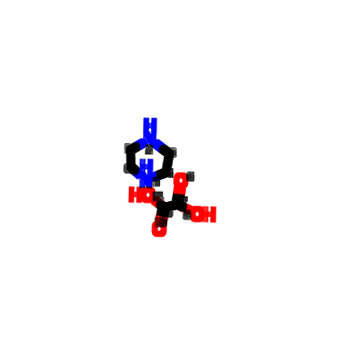 C1CNCCN1.O=C(O)C(=O)O